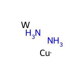 N.N.[Cu].[W]